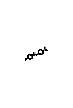 CN(C)C1=CC=C(/C=N/C2=CC=C(I)CC2)CC1